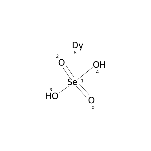 O=[Se](=O)(O)O.[Dy]